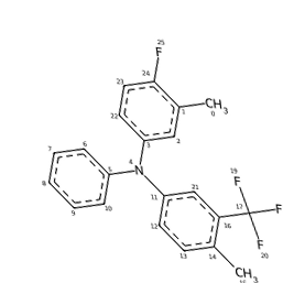 Cc1cc(N(c2ccccc2)c2ccc(C)c(C(F)(F)F)c2)ccc1F